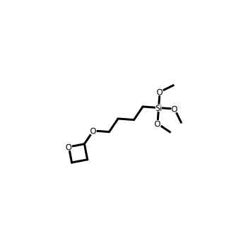 CO[Si](CCCCOC1CCO1)(OC)OC